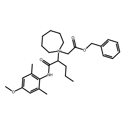 CCCC(C(=O)Nc1c(C)cc(OC)cc1C)[N+]1(CC(=O)OCc2ccccc2)CCCCCC1